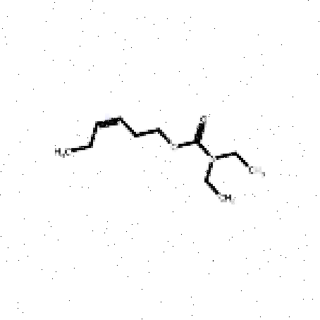 CC/C=C\CCOC(=O)N(CC)CC